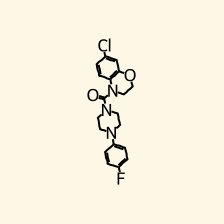 O=C(N1CCN(c2ccc(F)cc2)CC1)N1CCOc2cc(Cl)ccc21